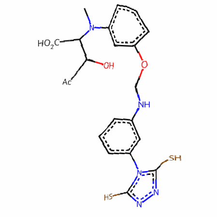 CC(=O)C(O)C(C(=O)O)N(C)c1cccc(OCNc2cccc(-n3c(S)nnc3S)c2)c1